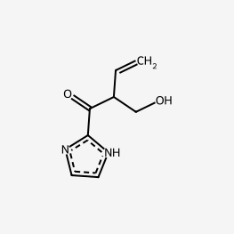 C=CC(CO)C(=O)c1ncc[nH]1